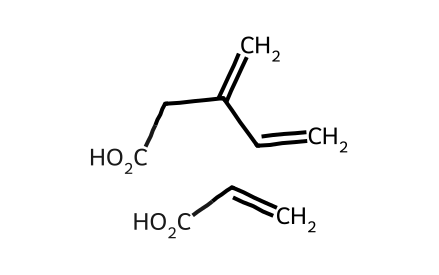 C=CC(=C)CC(=O)O.C=CC(=O)O